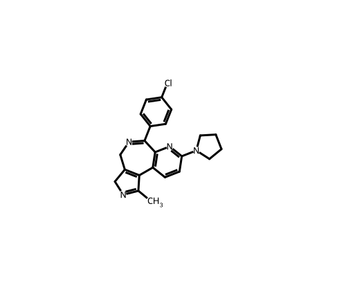 CC1=NCC2=C1c1ccc(N3CCCC3)nc1C(c1ccc(Cl)cc1)=NC2